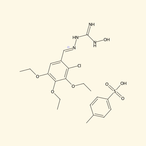 CCOc1cc(/C=N/NC(=N)NO)c(Cl)c(OCC)c1OCC.Cc1ccc(S(=O)(=O)O)cc1